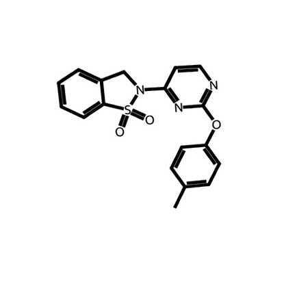 Cc1ccc(Oc2nccc(N3Cc4ccccc4S3(=O)=O)n2)cc1